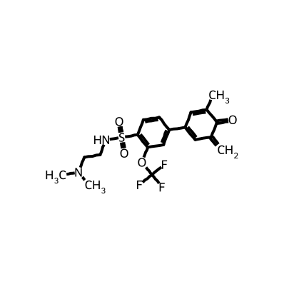 C=C1C=C(c2ccc(S(=O)(=O)NCCN(C)C)c(OC(F)(F)F)c2)C=C(C)C1=O